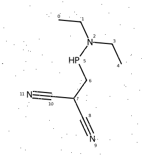 CCN(CC)PCC(C#N)C#N